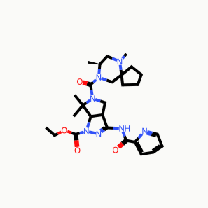 CCOC(=O)N1N=C(NC(=O)c2ccccn2)C2CN(C(=O)N3CC4(CCCC4)N(C)C[C@@H]3C)C(C)(C)C21